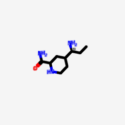 CC[C@H](N)C1CCNC(C(N)=O)C1